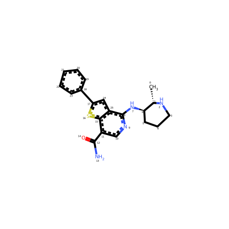 C[C@@H]1NCCC[C@H]1Nc1ncc(C(N)=O)c2sc(-c3ccccc3)cc12